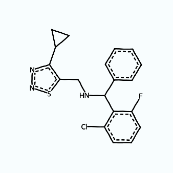 Fc1cccc(Cl)c1C(NCc1snnc1C1CC1)c1ccccc1